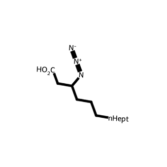 CCCCCCCCCCC(CC(=O)O)N=[N+]=[N-]